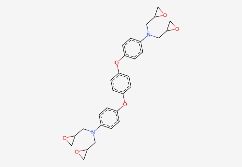 c1cc(Oc2ccc(N(CC3CO3)CC3CO3)cc2)ccc1Oc1ccc(N(CC2CO2)CC2CO2)cc1